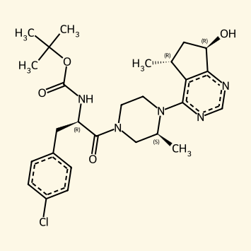 C[C@@H]1C[C@@H](O)c2ncnc(N3CCN(C(=O)[C@@H](Cc4ccc(Cl)cc4)NC(=O)OC(C)(C)C)C[C@@H]3C)c21